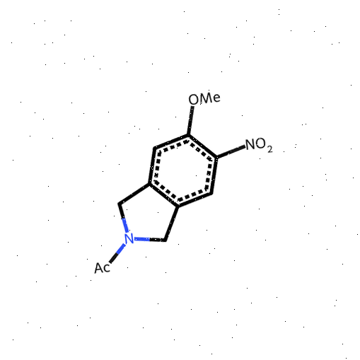 COc1cc2c(cc1[N+](=O)[O-])CN(C(C)=O)C2